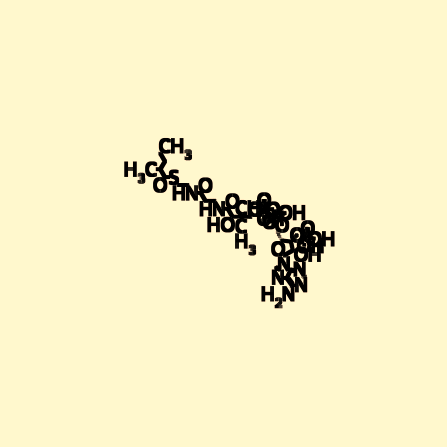 CCCC(C)C(=O)SCCNC(=O)CCNC(=O)C(O)C(C)(C)COP(=O)(O)OP(=O)(O)OC[C@H]1O[C@@H](n2cnc3c(N)ncnc32)[C@H](O)[C@@H]1OP(=O)(O)O